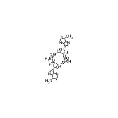 B[P@]1(=O)OC[C@H]2O[C@@H](n3cnc4c(C)ncnc43)[C@H](F)[C@@H]2OP(=O)(O)OC[C@H]2O[C@@H](n3cnc4c(N)ncnc43)[C@H](F)[C@@H]2O1